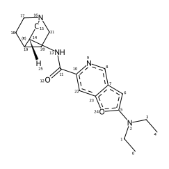 CCN(CC)c1cc2cnc(C(=O)N[C@H]3CN4CCC3CC4)cc2o1